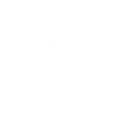 CCCN(c1ccccc1)S(=O)(=O)CCC